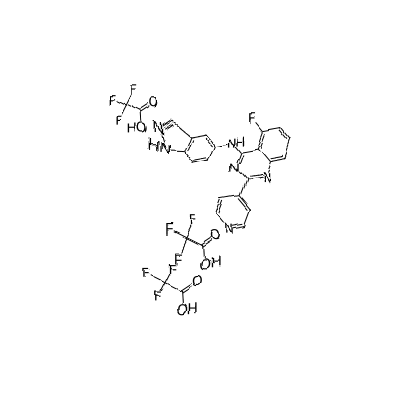 Fc1cccc2nc(-c3ccncc3)nc(Nc3ccc4[nH]ncc4c3)c12.O=C(O)C(F)(F)F.O=C(O)C(F)(F)F.O=C(O)C(F)(F)F